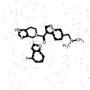 CN(C)Cc1ccc2c(C(=O)N3CCc4[nH]cnc4[C@H]3c3cc4c(F)cccc4o3)cnn2c1